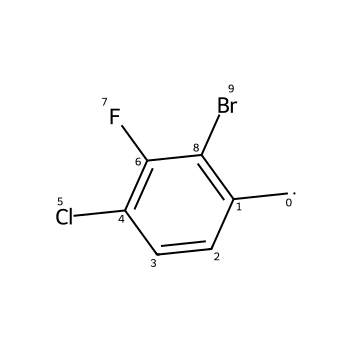 [CH2]c1ccc(Cl)c(F)c1Br